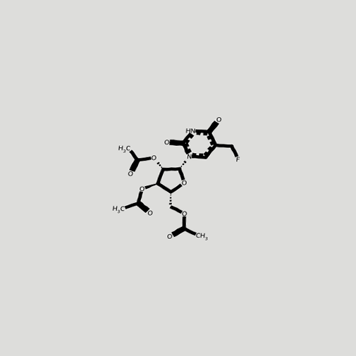 CC(=O)OC[C@H]1O[C@@H](n2cc(CF)c(=O)[nH]c2=O)[C@@H](OC(C)=O)[C@@H]1OC(C)=O